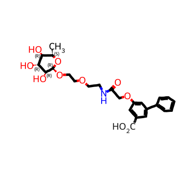 C[C@@H]1O[C@@H](OCCOCCNC(=O)COc2cc(C(=O)O)cc(-c3ccccc3)c2)[C@H](O)[C@H](O)[C@H]1O